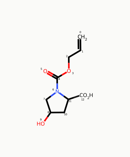 C=CCOC(=O)N1CC(O)CC1C(=O)O